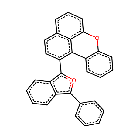 c1ccc(-c2oc(-c3ccc4cccc5c4c3-c3ccccc3O5)c3ccccc23)cc1